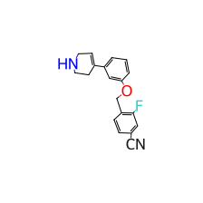 N#Cc1ccc(COc2cccc(C3=CCNCC3)c2)c(F)c1